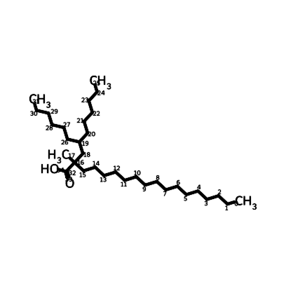 CCCCCCCCCCCCCCCCC(C)(CC(CCCCCC)CCCCCC)C(=O)O